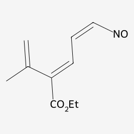 C=C(C)/C(=C\C=C/N=O)C(=O)OCC